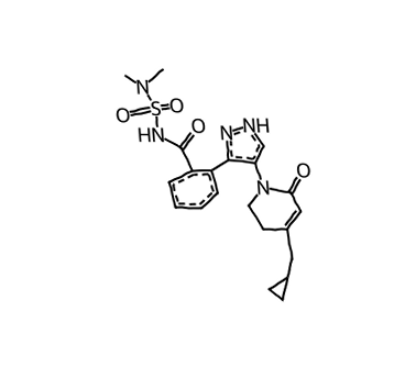 CN(C)S(=O)(=O)NC(=O)c1ccccc1-c1n[nH]cc1N1CCC(CC2CC2)=CC1=O